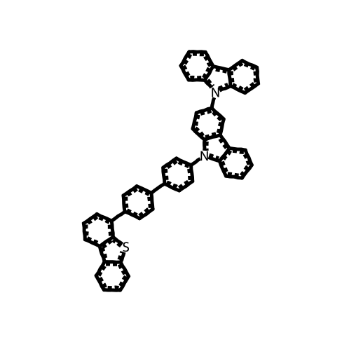 c1ccc2c(c1)sc1c(-c3ccc(-c4ccc(-n5c6ccccc6c6cc(-n7c8ccccc8c8ccccc87)ccc65)cc4)cc3)cccc12